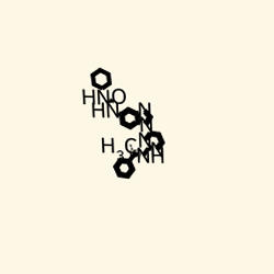 C[C@H](Nc1nccc(-n2cnc3cc(NC(=O)NC4CCCCC4)ccc32)n1)c1ccccc1